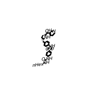 CCCCCCNC(=O)Nc1ccc(S(=O)(=O)Nc2ccc(C[C@@H]3CC[C@H]([C@H](O)c4cccnc4)N3)cc2)cc1